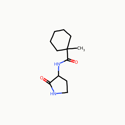 CC1(C(=O)NC2CCNC2=O)CCCCC1